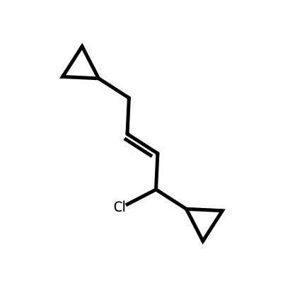 ClC(C=CCC1CC1)C1CC1